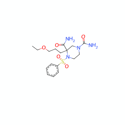 CCOCCCC1(C(N)=O)CN(C(N)=O)CCN1S(=O)(=O)c1ccccc1